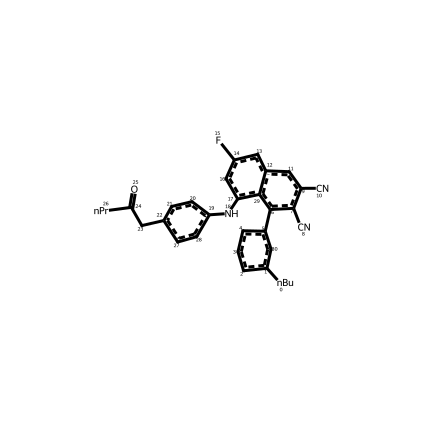 CCCCc1cccc(-c2c(C#N)c(C#N)cc3cc(F)cc(Nc4ccc(CC(=O)CCC)cc4)c23)c1